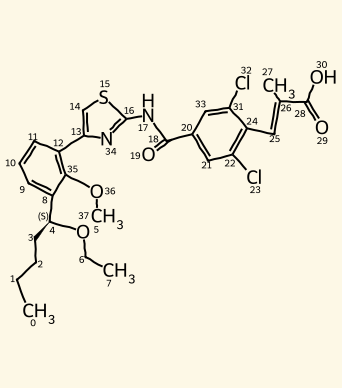 CCCC[C@H](OCC)c1cccc(-c2csc(NC(=O)c3cc(Cl)c(C=C(C)C(=O)O)c(Cl)c3)n2)c1OC